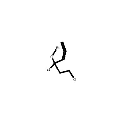 C=C=CC(CC)(CCCl)OCC